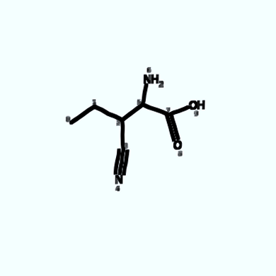 CCC(C#N)C(N)C(=O)O